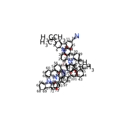 CC(C)(C)c1ccc2c(c1)c1cc(C#N)ccc1n2-c1ccc2c(c1)N(c1ccccc1-c1ccccc1)c1cc(-c3ccccc3C(C)(C)C)cc3c1B2c1ccc(-c2cccc(-n4c5ccccc5c5ccccc54)c2-n2c4ccccc4c4ccccc42)cc1N3c1ccccc1-c1ccccc1